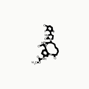 COC(=O)Nc1ccc2c(c1)NC(=O)CC/C=C/CC(N1CCC(c3c(F)ccc(Cl)c3F)NC1=O)c1nc-2c(Cl)[nH]1